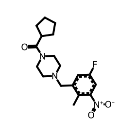 Cc1c(CN2CCN(C(=O)C3CCCC3)CC2)cc(F)cc1[N+](=O)[O-]